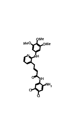 COc1cc(Nc2ncccc2C/C=C/C(=O)Nc2cc(Cl)c(Cl)cc2N)cc(OC)c1OC